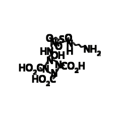 NCCCCCNC(=O)CSC1CC(=O)N(CCNC(O)CN2CCN(CC(=O)O)CCN(CC(=O)O)CCN(CC(=O)O)CC2)C1=O